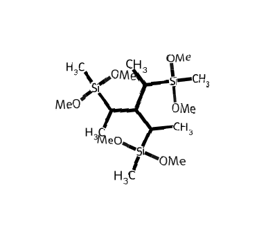 CO[Si](C)(OC)C(C)C(C(C)[Si](C)(OC)OC)C(C)[Si](C)(OC)OC